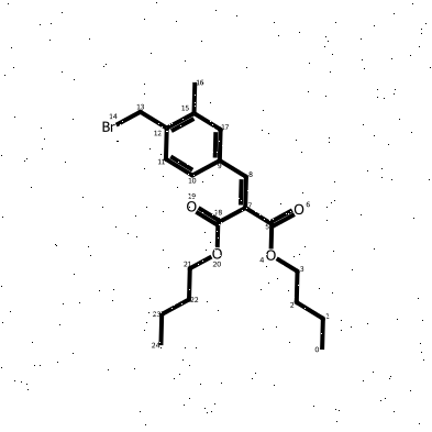 CCCCOC(=O)C(=Cc1ccc(CBr)c(C)c1)C(=O)OCCCC